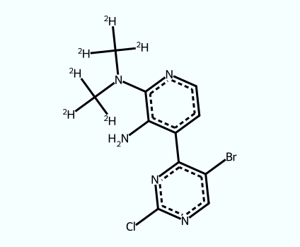 [2H]C([2H])([2H])N(c1nccc(-c2nc(Cl)ncc2Br)c1N)C([2H])([2H])[2H]